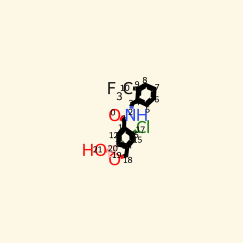 O=C(NCc1ccccc1C(F)(F)F)c1cc2c(cc1Cl)COB2O